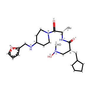 CC(C)(C)[C@H](NC(=O)[C@H](CC1CCCC1)CN(O)C=O)C(=O)N1CCC(NCc2ccco2)CC1